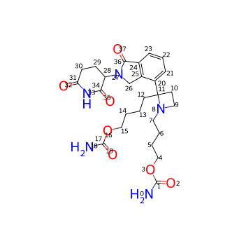 NC(=O)OCCCCN1CCC1(CCCCOC(N)=O)c1cccc2c1CN(C1CCC(=O)NC1=O)C2=O